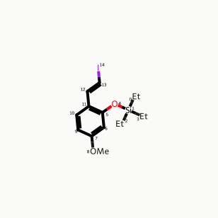 CC[Si](CC)(CC)Oc1cc(OC)ccc1/C=C/I